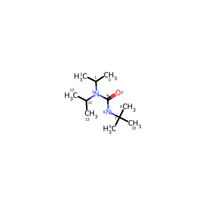 CC(C)N(C(=O)[N]C(C)(C)C)C(C)C